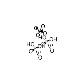 [O]=[V+][P](=O)(O)O.[O]=[V+][P](=O)(O)O.[O]=[W](=[O])([O-])[O-]